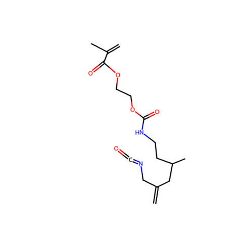 C=C(CN=C=O)CC(C)CCNC(=O)OCCOC(=O)C(=C)C